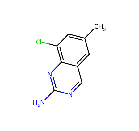 Cc1cc(Cl)c2nc(N)ncc2c1